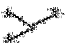 CCC(C(=O)NCCCNC(=O)CCCCCOC1OC(CO)C(O)C(O)[C@@H]1NC(C)=O)N(CC(=O)NCCCNC(=O)CCCCCOC1OC(CO)C(O)C(O)C1NC(C)=O)CC(=O)NCCCNC(=O)CCCCCOC(OC(CO)[C@@H](C)O)[C@H](CO)NC(C)=O